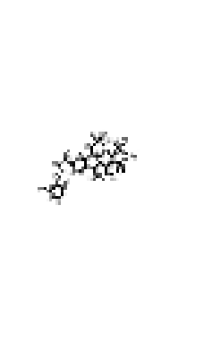 Cc1cccc(C)c1OCCN(C)c1ccc(-c2cnc(C)c([C@H](OC(C)(C)C)C(=O)O)c2N2CCC(C)(C)CC2)cn1